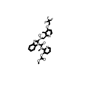 COC(=O)Oc1cccnc1N(C)C(=O)n1c([S@+]([O-])Cc2nccc(OCC(F)(F)F)c2C)nc2ccccc21